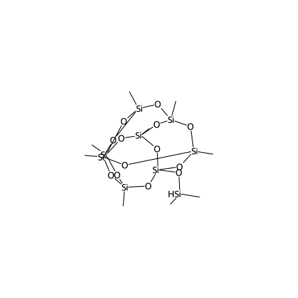 C[SiH](C)O[Si]12O[Si]3(C)O[Si]4(C)O[Si]5(C)O[Si](C)(O3)O[Si](C)(O[Si](C)(O5)O[Si](C)(O4)O1)O2